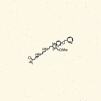 C=C(/C=C\C(=C/CC)OCC1C=CC=CN=C1)/N=C(/CCNC/C=C/N/C=C/CC(Cl)N(C)C)N(C)CCOC